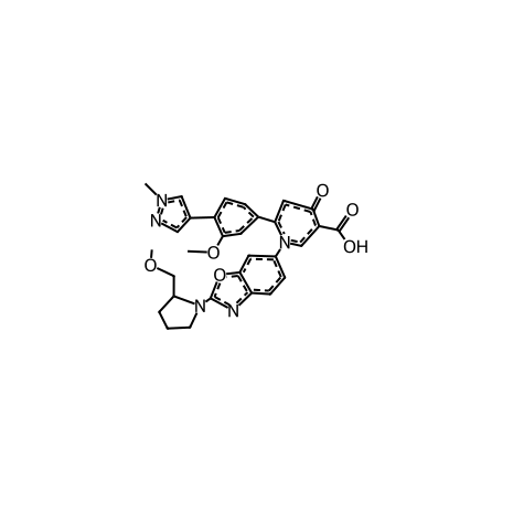 COCC1CCCN1c1nc2ccc(-n3cc(C(=O)O)c(=O)cc3-c3ccc(-c4cnn(C)c4)c(OC)c3)cc2o1